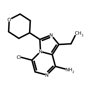 CCc1nc(C2CCOCC2)n2c(Cl)cnc(N)c12